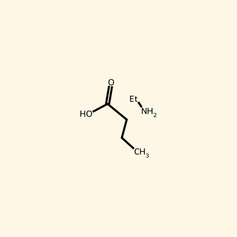 CCCC(=O)O.CCN